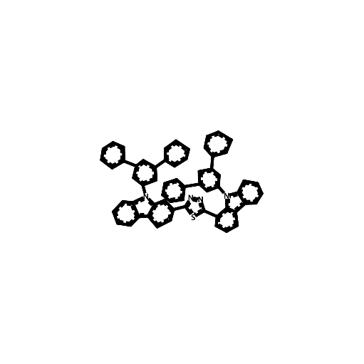 c1ccc(-c2cc(-c3ccccc3)cc(-n3c4ccccc4c4ccc(-c5nnc(-c6cccc7c8ccccc8n(-c8cc(-c9ccccc9)cc(-c9ccccc9)c8)c67)s5)cc43)c2)cc1